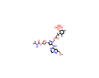 COCc1cc2c(Nc3cc([C@H]4C[C@@H](OC(=O)NC(C)C)CO4)nn3COC(=O)CC(C)(C)c3c(C)cc(C)cc3OP(=O)(O)O)nccn2n1